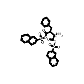 N[C@H](C(=O)OS(=O)(=O)c1ccc2ccccc2c1)C(Cc1ccccc1)C(=O)OS(=O)(=O)c1ccc2ccccc2c1